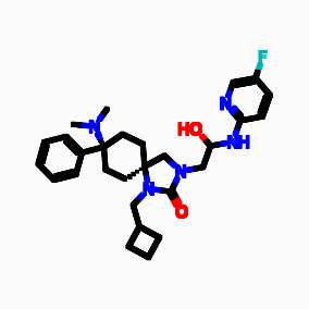 CN(C)[C@]1(c2ccccc2)CC[C@]2(CC1)CN(CC(O)Nc1ccc(F)cn1)C(=O)N2CC1CCC1